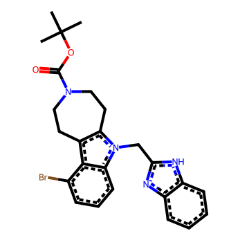 CC(C)(C)OC(=O)N1CCc2c(n(Cc3nc4ccccc4[nH]3)c3cccc(Br)c23)CC1